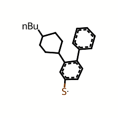 CCCCC1CCC(c2cc([S])ccc2-c2ccccc2)CC1